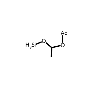 CC(=O)OC(C)O[SiH3]